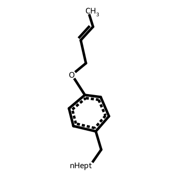 CC=CCOc1ccc(CCCCCCCC)cc1